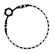 c1cc2cc(c1)-c1ccc(cn1)OCCOCCOCCOCCOCCOCCOCCOc1ccc-2nc1